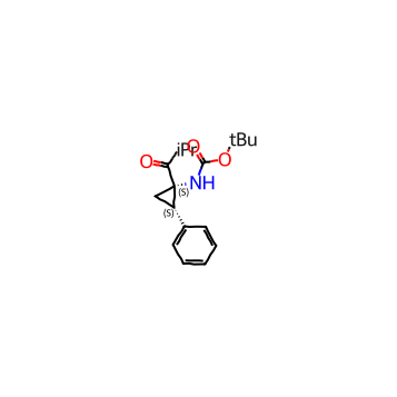 CC(C)C(=O)[C@]1(NC(=O)OC(C)(C)C)C[C@H]1c1ccccc1